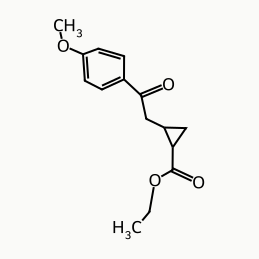 CCOC(=O)C1CC1CC(=O)c1ccc(OC)cc1